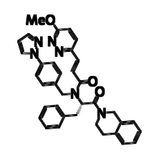 COc1ccc(/C=C/C(=O)N(Cc2ccc(-n3cccn3)cc2)[C@@H](Cc2ccccc2)C(=O)N2CCc3ccccc3C2)nn1